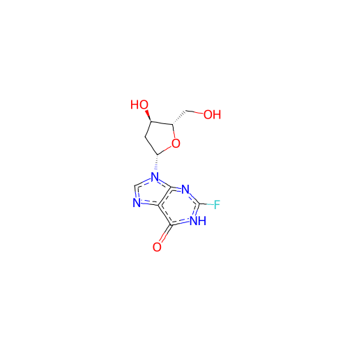 O=c1[nH]c(F)nc2c1ncn2[C@@H]1C[C@@H](O)[C@H](CO)O1